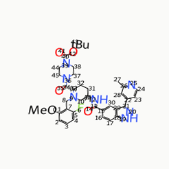 COc1cccc(F)c1CN1C[C@H](NC(=O)c2ccc3[nH]nc(-c4ccnc(C)c4)c3c2)CC[C@H]1C(=O)N1CCN(C(=O)OC(C)(C)C)CC1